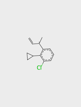 C=C[C](C)c1cccc(Cl)c1C1CC1